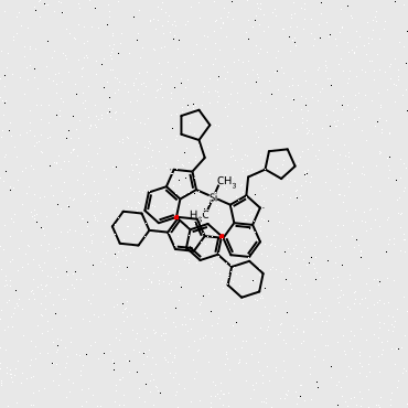 C[Si](C)(C1=C(CC2CCCC2)[CH]c2cccc(-c3ccc(C4CCCCC4)cc3)c21)C1=C(CC2CCCC2)[CH]c2cccc(-c3ccc(C4CCCCC4)cc3)c21